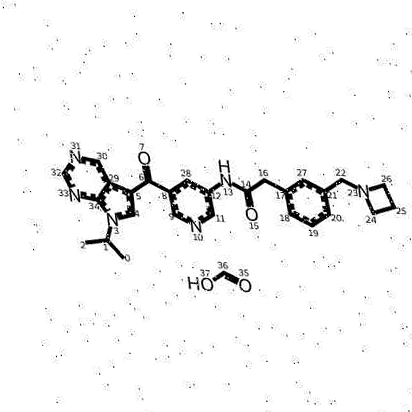 CC(C)n1cc(C(=O)c2cncc(NC(=O)Cc3cccc(CN4CCC4)c3)c2)c2cncnc21.O=CO